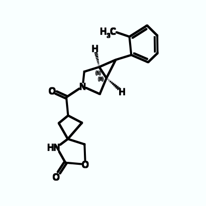 Cc1ccccc1C1[C@H]2CN(C(=O)C3CC4(COC(=O)N4)C3)C[C@@H]12